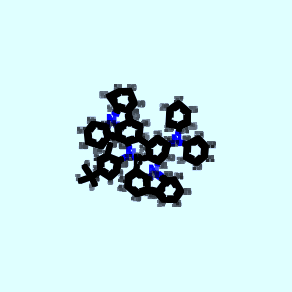 Cc1cc(C(C)(C)C)ccc1N1B2c3c(cc(N(c4ccccc4)c4ccccc4)cc3-n3c4ccccc4c4cccc2c43)-c2cc3c4ccccc4n4c5ccccc5c(c21)c34